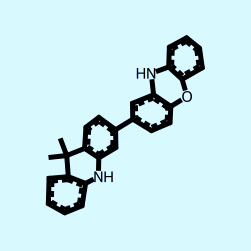 CC1(C)c2ccccc2Nc2cc(-c3ccc4c(c3)Nc3ccccc3O4)ccc21